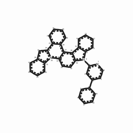 c1ccc(-c2ccnc(-n3c4ccccc4c4c5c6ccccc6c6cc7ccccc7n6c5ccc43)c2)cc1